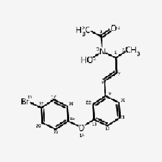 CC(=O)N(O)C(C)C=Cc1cccc(Oc2ccc(Br)cc2)c1